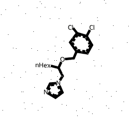 CCCCCCC(Cn1ccnc1)OCc1ccc(Cl)c(Cl)c1